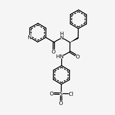 O=C(N[C@@H](Cc1ccccc1)C(=O)Nc1ccc(S(=O)(=O)Cl)cc1)c1cccnc1